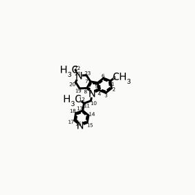 Cc1ccc2c(c1)c1c(n2CC(C)c2ccncc2)CCN(C)C1